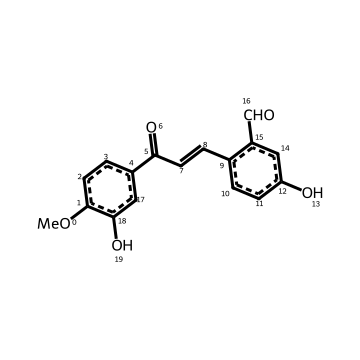 COc1ccc(C(=O)C=Cc2ccc(O)cc2C=O)cc1O